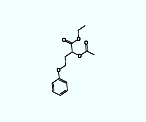 CCOC(=O)C(CCOc1ccccc1)OC(C)=O